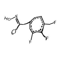 O/N=C(\Cl)c1ccc(F)c(F)c1F